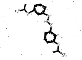 CC(Oc1cccc(OBOc2cccc(OC(C)C(F)(F)F)c2)c1)C(F)(F)F